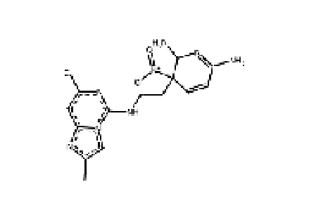 Cc1cn2c(NCCC3([N+](=O)[O-])C=CC(N)=NC3N)nc(Cl)cc2n1